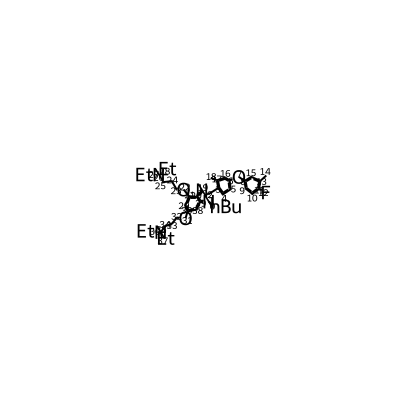 CCCCn1c(-c2ccc(Oc3ccc(F)c(C)c3)cc2C)nc2c(OCCCN(CC)CC)cc(OCCCN(CC)CC)cc21